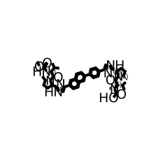 COC(=O)N[C@H](C(=O)N1C(C)CCC1c1nc(-c2ccc3cc(-c4ccc(-c5c[nH]c([C@@H]6CC[C@H](C)N6C(=O)[C@H](C(C)C)N(C)C(=O)O)n5)cc4)ccc3c2)c[nH]1)C(C)C